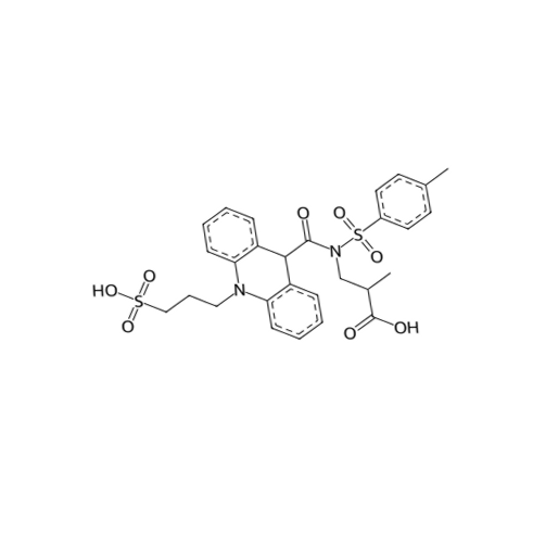 Cc1ccc(S(=O)(=O)N(CC(C)C(=O)O)C(=O)C2c3ccccc3N(CCCS(=O)(=O)O)c3ccccc32)cc1